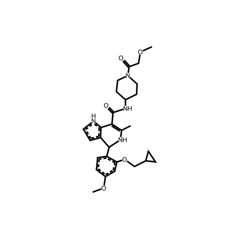 COCC(=O)N1CCC(NC(=O)C2=C(C)NC(c3ccc(OC)cc3OCC3CC3)c3cc[nH]c32)CC1